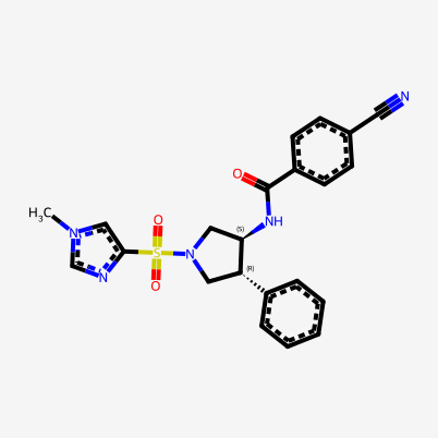 Cn1cnc(S(=O)(=O)N2C[C@@H](NC(=O)c3ccc(C#N)cc3)[C@H](c3ccccc3)C2)c1